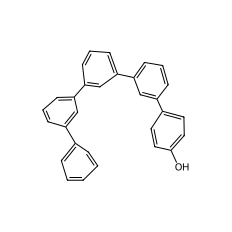 Oc1ccc(-c2cccc(-c3cccc(-c4cccc(-c5ccccc5)c4)c3)c2)cc1